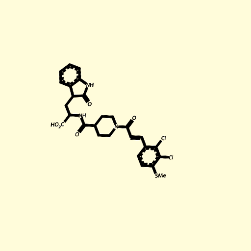 CSc1ccc(C=CC(=O)N2CCC(C(=O)NC(CC3C(=O)Nc4ccccc43)C(=O)O)CC2)c(Cl)c1Cl